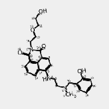 CN(CCNc1ccc2c3c(cccc13)C(=O)N(CCOCCO)C2=O)Cc1ccccc1O